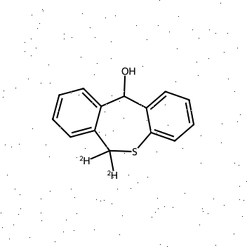 [2H]C1([2H])Sc2ccccc2C(O)c2ccccc21